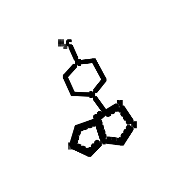 CN1CCN(c2nncn3cncc23)CC1